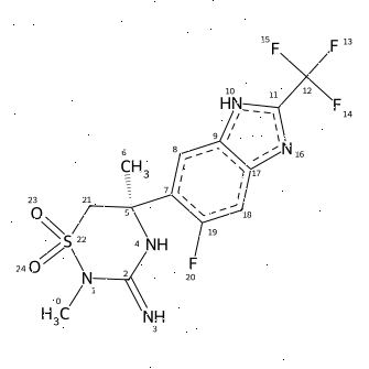 CN1C(=N)N[C@](C)(c2cc3[nH]c(C(F)(F)F)nc3cc2F)CS1(=O)=O